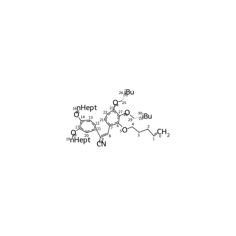 C=CCCCOc1c(C=C(C#N)c2ccc(OCCCCCCC)c(OCCCCCCC)c2)ccc(OC[C@@H](C)CC)c1OC[C@@H](C)CC